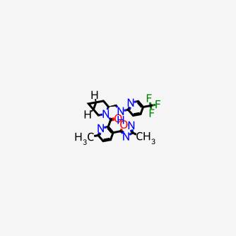 Cc1ccc(-c2nc(C)no2)c(C(=O)N2C[C@@H]3C[C@@H]3C[C@H]2CNc2ccc(C(F)(F)F)cn2)n1